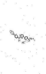 N#CCc1cc(-c2ccnc(Nc3ccc(N4CCOCC4)cc3)n2)ccc1C(N)=O